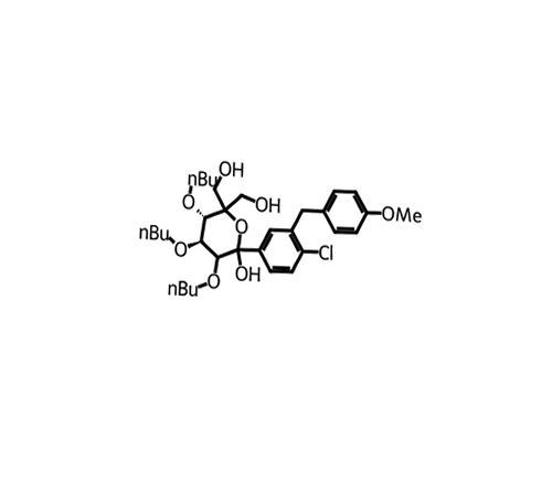 CCCCOC1[C@@H](OCCCC)[C@H](OCCCC)C(CO)(CO)OC1(O)c1ccc(Cl)c(Cc2ccc(OC)cc2)c1